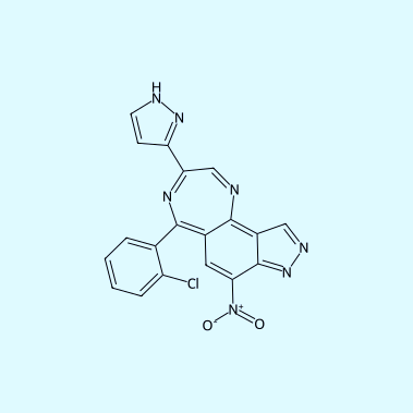 O=[N+]([O-])c1cc2c(-c3ccccc3Cl)nc(-c3cc[nH]n3)cnc2c2cnnc12